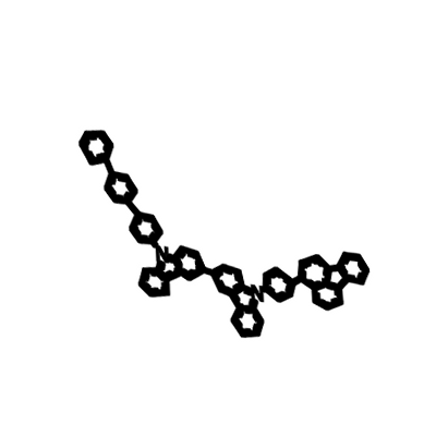 c1ccc(-c2ccc(-c3ccc(-n4c5ccccc5c5cc(-c6ccc7c(c6)c6ccccc6n7-c6ccc(-c7ccc8c9c(cccc79)-c7ccccc7-8)cc6)ccc54)cc3)cc2)cc1